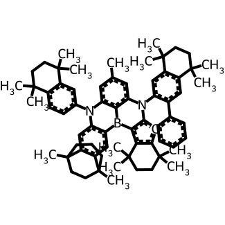 Cc1cc2c3c(c1)N(c1cc4c(cc1-c1ccccc1)C(C)(C)CCC4(C)C)c1oc4c(c1B3c1cc3c(cc1N2c1ccc2c(c1)C(C)(C)CCC2(C)C)C1(C)CCCC3(C)CC1)C(C)(C)CCC4(C)C